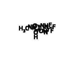 CNC[C@H]1OC[C@H](Nc2cncc(C(F)(F)F)n2)[C@@H](O)[C@H]1O